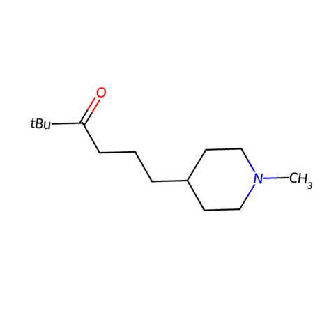 CN1CCC(CCCC(=O)C(C)(C)C)CC1